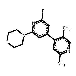 Cc1cnc(N)cc1-c1cc(F)nc(N2CCOCC2)c1